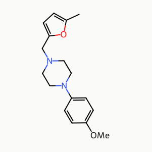 COc1ccc(N2CCN(Cc3ccc(C)o3)CC2)cc1